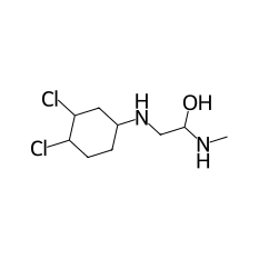 CNC(O)CNC1CCC(Cl)C(Cl)C1